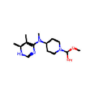 COC(O)N1CCC(N(C)C2=C(C)C(C)NC=N2)CC1